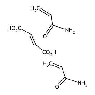 C=CC(N)=O.C=CC(N)=O.O=C(O)/C=C/C(=O)O